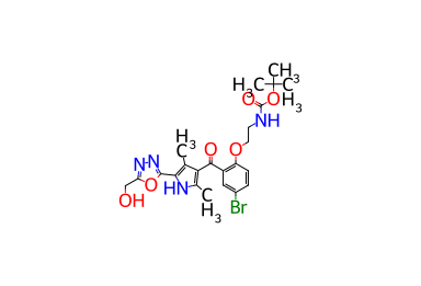 Cc1[nH]c(-c2nnc(CO)o2)c(C)c1C(=O)c1cc(Br)ccc1OCCNC(=O)OC(C)(C)C